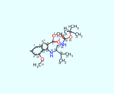 COC(=O)c1sc2cccc(OC)c2c1NC(CNC(=O)OC(C)(C)C)C(C)C